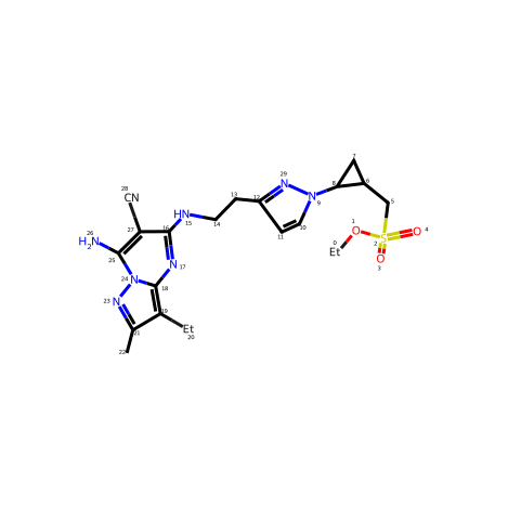 CCOS(=O)(=O)CC1CC1n1ccc(CCNc2nc3c(CC)c(C)nn3c(N)c2C#N)n1